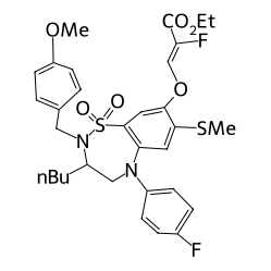 CCCCC1CN(c2ccc(F)cc2)c2cc(SC)c(O/C=C(\F)C(=O)OCC)cc2S(=O)(=O)N1Cc1ccc(OC)cc1